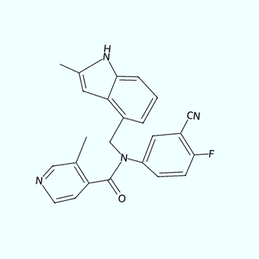 Cc1cc2c(CN(C(=O)c3ccncc3C)c3ccc(F)c(C#N)c3)cccc2[nH]1